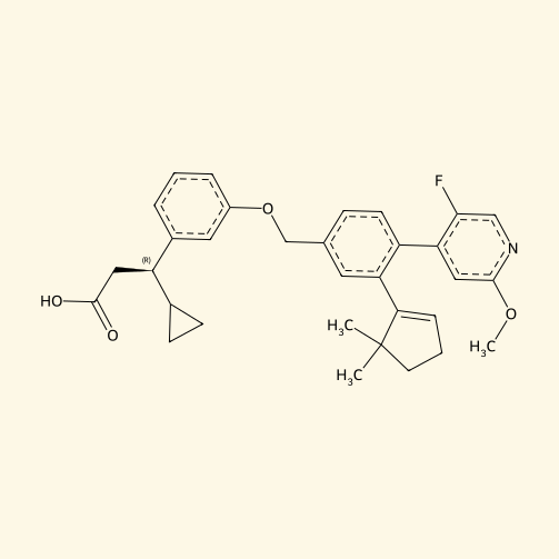 COc1cc(-c2ccc(COc3cccc([C@H](CC(=O)O)C4CC4)c3)cc2C2=CCCC2(C)C)c(F)cn1